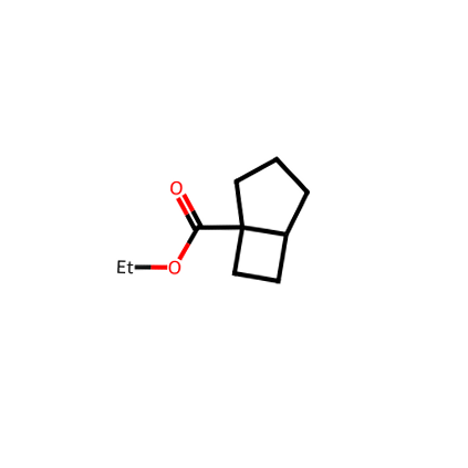 CCOC(=O)C12CCCC1CC2